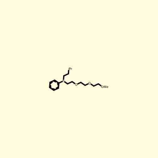 COCCOCCOCCP(CCC(C)C)c1ccccc1